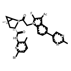 CC(=O)c1c(F)n(CC(=O)N2C3C[C@]3(C)C[C@H]2C(=O)Nc2nc(Br)ccc2C)c2ccc(-c3cnc(C)nc3)cc12